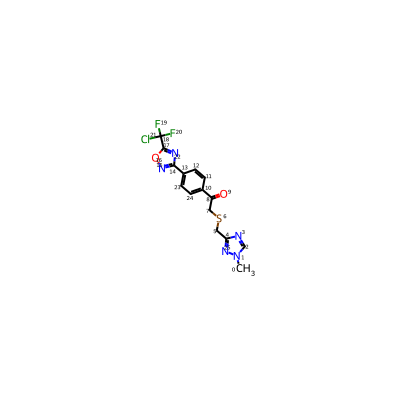 Cn1cnc(CSCC(=O)c2ccc(-c3noc(C(F)(F)Cl)n3)cc2)n1